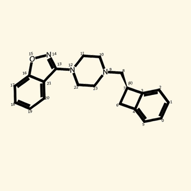 c1ccc2c(c1)C[C@H]2CN1CCN(c2noc3ccccc23)CC1